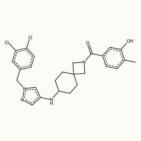 Cc1ccc(C(=O)N2CC3(CCC(Nc4cnn(Cc5ccc(Cl)c(Cl)c5)c4)CC3)C2)cc1O